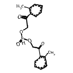 Cc1ccccc1C(=O)CO[PH](=O)OCC(=O)c1ccccc1C